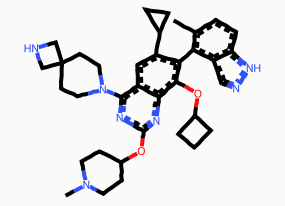 Cc1ccc2[nH]ncc2c1-c1c(C2CC2)cc2c(N3CCC4(CC3)CNC4)nc(OC3CCN(C)CC3)nc2c1OC1CCC1